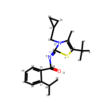 Cc1c(C(C)(C)C)s/c(=N\C(=O)c2ccccc2C(C)C)n1CC1CC1